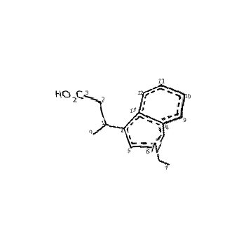 CC(CC(=O)O)c1cn(C)c2ccccc12